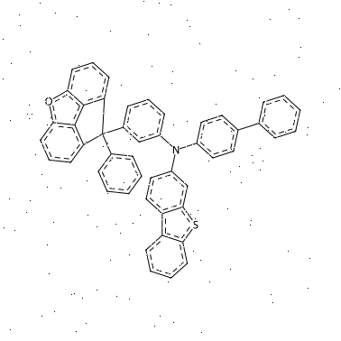 c1ccc(-c2ccc(N(c3cccc(C4(c5ccccc5)c5cccc6oc7cccc4c7c56)c3)c3ccc4c(c3)sc3ccccc34)cc2)cc1